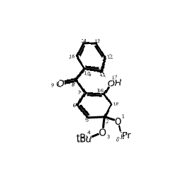 CC(C)OC1(OC(C)(C)C)C=CC(C(=O)c2ccccc2)=C(O)C1